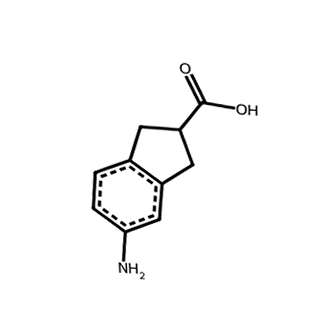 Nc1ccc2c(c1)CC(C(=O)O)C2